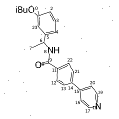 CC(C)COc1cccc(C(C)NC(=O)c2ccc(-c3ccncc3)cc2)c1